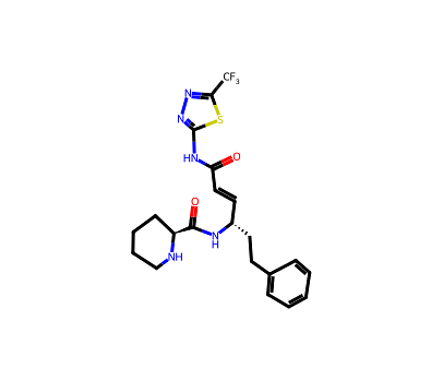 O=C(/C=C/[C@H](CCc1ccccc1)NC(=O)[C@@H]1CCCCN1)Nc1nnc(C(F)(F)F)s1